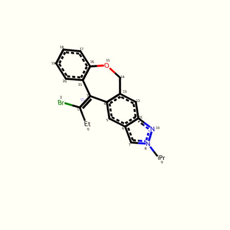 CC/C(Br)=C1\c2cc3cn(C(C)C)nc3cc2COc2ccccc21